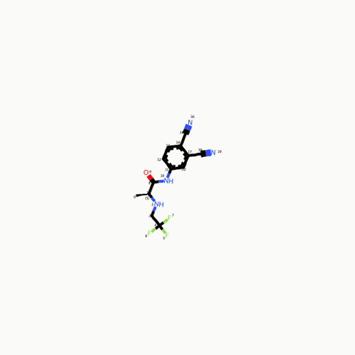 C[C@H](NCC(F)(F)F)C(=O)Nc1ccc(C#N)c(C#N)c1